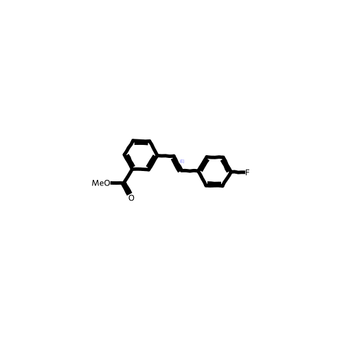 COC(=O)c1cccc(/C=C/c2ccc(F)cc2)c1